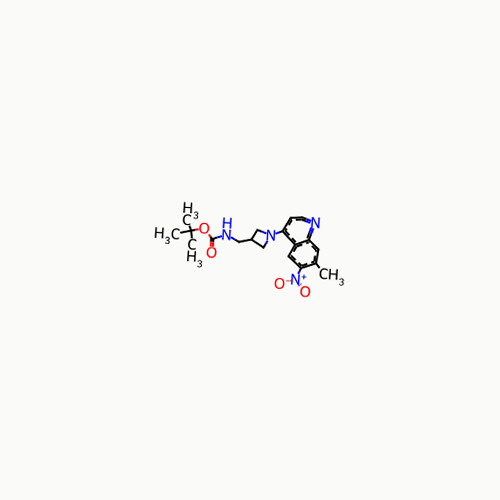 Cc1cc2nccc(N3CC(CNC(=O)OC(C)(C)C)C3)c2cc1[N+](=O)[O-]